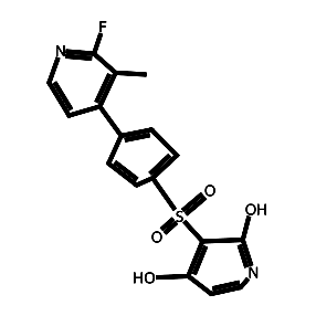 Cc1c(-c2ccc(S(=O)(=O)c3c(O)ccnc3O)cc2)ccnc1F